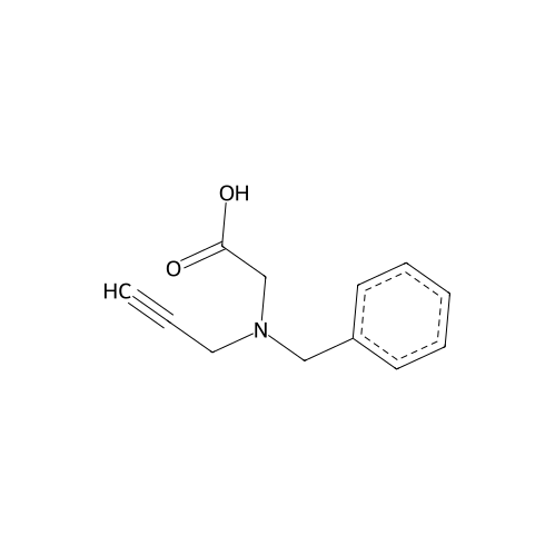 C#CCN(CC(=O)O)Cc1ccccc1